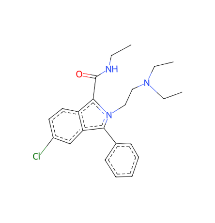 CCNC(=O)c1c2ccc(Cl)cc2c(-c2ccccc2)n1CCN(CC)CC